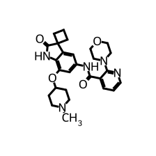 CN1CCC(Oc2cc(NC(=O)c3cccnc3N3CCOCC3)cc3c2NC(=O)C32CCC2)CC1